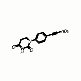 CCCCC#Cc1ccc(N2CCC(=O)NC2=O)cc1